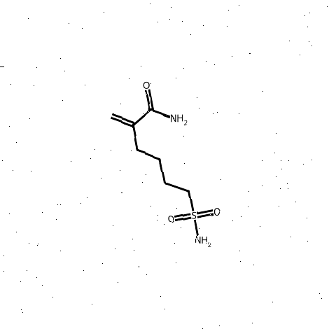 C=C(CCCCS(N)(=O)=O)C(N)=O